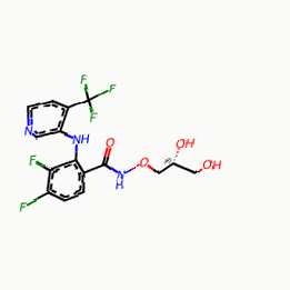 O=C(NOC[C@H](O)CO)c1ccc(F)c(F)c1Nc1cnccc1C(F)(F)F